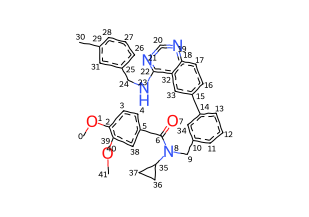 COc1ccc(C(=O)N(Cc2cccc(-c3ccc4ncnc(NCc5cccc(C)c5)c4c3)c2)C2CC2)cc1OC